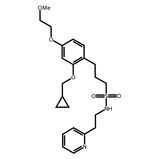 COCCOc1ccc(CCCS(=O)(=O)NCCc2ccccn2)c(OCC2CC2)c1